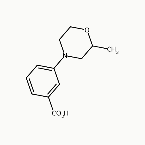 CC1CN(c2cccc(C(=O)O)c2)CCO1